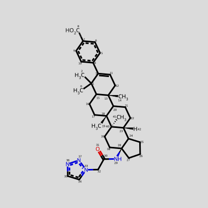 CC1(C)C(c2ccc(C(=O)O)cc2)=CC[C@@]2(C)C1CC[C@]1(C)C2CC[C@@H]2C3CCC[C@]3(NC(=O)Cn3ccnn3)CC[C@]21C